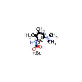 C=C(CNC(=O)OC(C)(C)C)/C(C)=C\C(C)N(C)C